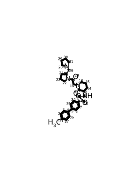 Cc1ccc(-c2ccc(S(=O)(=O)N[C@H]3CCCN(CC(=O)N4CCC[C@H]4CN4CCCC4)C3=O)cc2)cc1